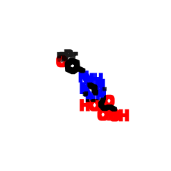 CCCOc1ccc(/C=N/Nc2ncnc3c2ncn3C2OC(CO)C(O)C2O)cc1